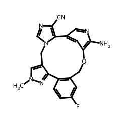 Cn1cc2c(n1)-c1ccc(F)cc1COc1cc(cnc1N)-c1c(C#N)ncn1C2